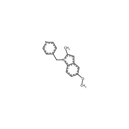 COc1ccc2c(c1)cc(C)n2Cc1ccncc1